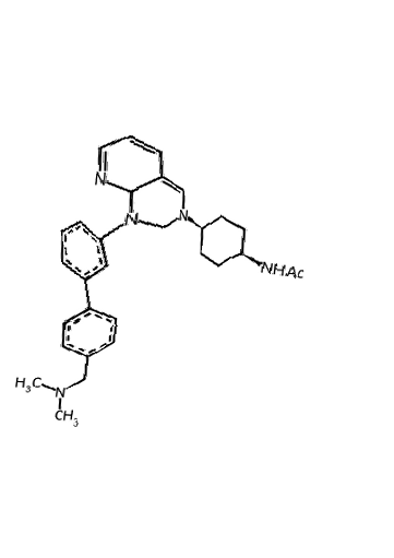 CC(=O)N[C@H]1CC[C@@H](N2C=C3C=CC=NC3N(c3cccc(-c4ccc(CN(C)C)cc4)c3)C2)CC1